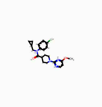 COc1ccnc(N2CCC(C(=O)N(CC3CC3)c3ccc(Cl)cc3)CC2)n1